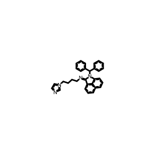 c1ccc(C(c2ccccc2)N2C(=NCCCCn3ccnc3)c3cccc4cccc2c34)cc1